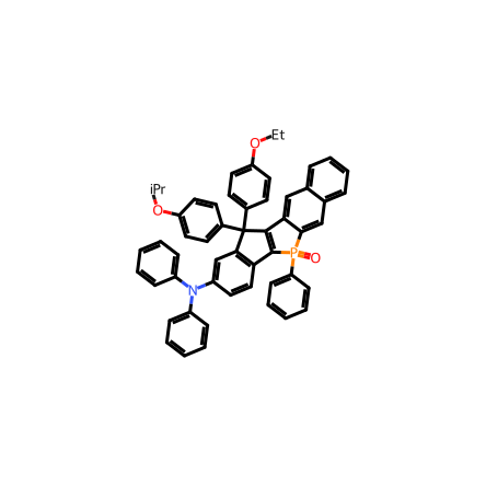 CCOc1ccc(C2(c3ccc(OC(C)C)cc3)C3=C(c4ccc(N(c5ccccc5)c5ccccc5)cc42)P(=O)(c2ccccc2)c2cc4ccccc4cc23)cc1